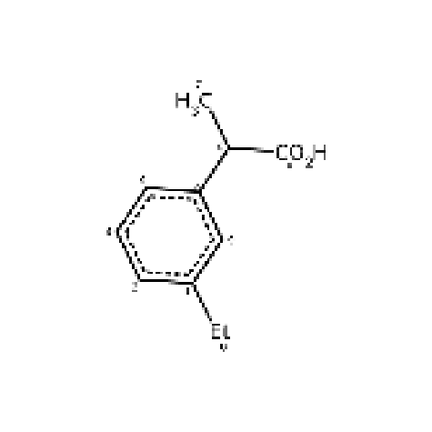 CCc1cccc(C(C)C(=O)O)c1